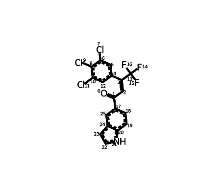 O=C(/C=C(\c1cc(Cl)c(Cl)c(Cl)c1)C(F)(F)F)c1ccc2[nH]ccc2c1